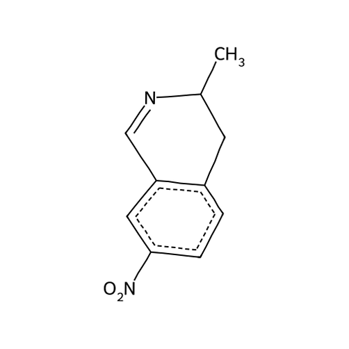 CC1Cc2ccc([N+](=O)[O-])cc2C=N1